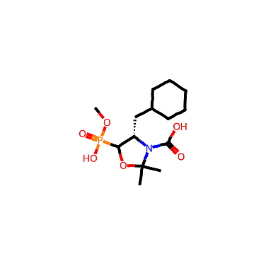 COP(=O)(O)C1OC(C)(C)N(C(=O)O)[C@H]1CC1CCCCC1